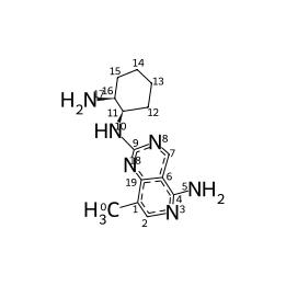 Cc1cnc(N)c2cnc(N[C@@H]3CCCC[C@@H]3N)nc12